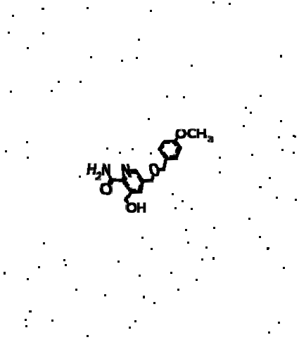 COc1ccc(COCc2cnc(C(N)=O)c(CO)c2)cc1